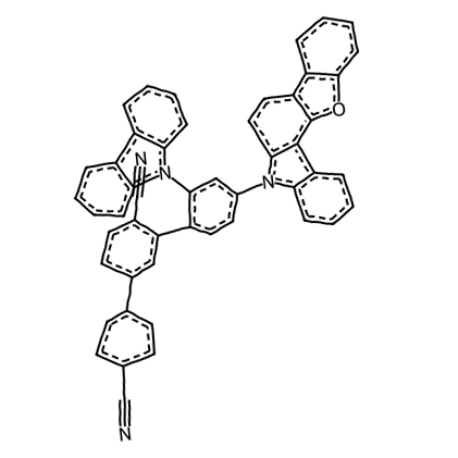 N#Cc1ccc(-c2ccc(C#N)c(-c3ccc(-n4c5ccccc5c5c6oc7ccccc7c6ccc54)cc3-n3c4ccccc4c4ccccc43)c2)cc1